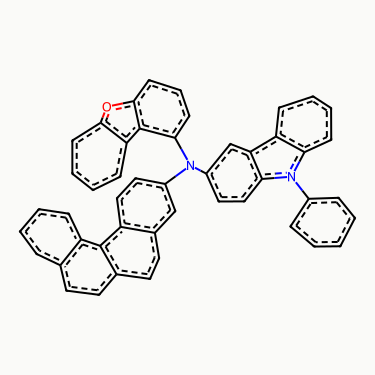 c1ccc(-n2c3ccccc3c3cc(N(c4ccc5c(ccc6ccc7ccccc7c65)c4)c4cccc5oc6ccccc6c45)ccc32)cc1